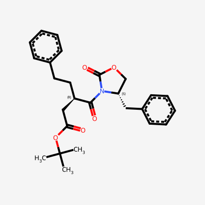 CC(C)(C)OC(=O)C[C@@H](CCc1ccccc1)C(=O)N1C(=O)OC[C@@H]1Cc1ccccc1